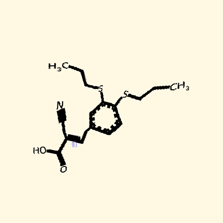 CCCSc1ccc(/C=C(\C#N)C(=O)O)cc1SCCC